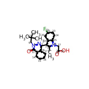 Cc1c(-c2nn(CC(C)(C)C)c(=O)c3ccccc23)c2cc(F)ccc2n1CC(=O)O